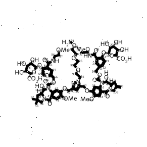 C=C1C[C@H]2C(O)N(C(=O)OCc3ccc(O[C@@H]4O[C@H](C(=O)O)[C@@H](O)[C@@H](O)[C@H]4O)c(C(=O)NCCOC)c3)c3cc(OCc4cc(COc5cc6c(cc5OC)C(=O)N5CC(C)(C)C[C@H]5C(O)N6C(=O)OCc5ccc(O[C@@H]6O[C@H](C(=O)O)[C@@H](O)[C@H](O)[C@H]6O)c(C(=O)NCCOC)c5)nn4CCOCCOCCON)c(OC)cc3C(=O)N2C1